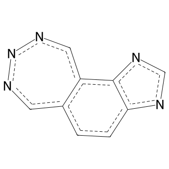 c1nc2ccc3cnnncc3c2n1